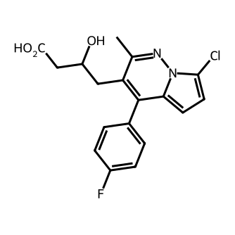 Cc1nn2c(Cl)ccc2c(-c2ccc(F)cc2)c1CC(O)CC(=O)O